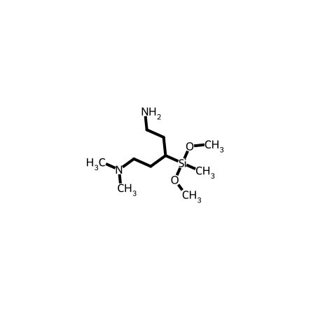 CO[Si](C)(OC)C(CCN)CCN(C)C